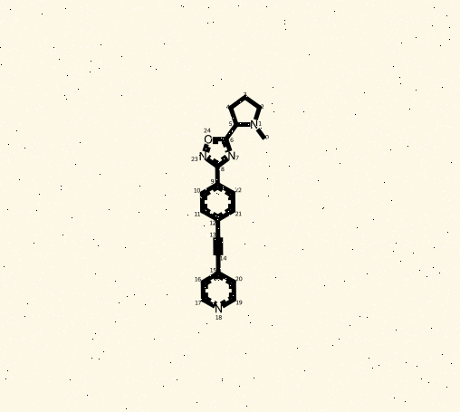 CN1CCCC1c1nc(-c2ccc(C#Cc3ccncc3)cc2)no1